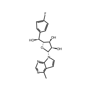 Cc1ncnc2c1ccn2[C@@H]1O[C@H]([C@@H](O)c2ccc(F)cc2)[C@@H](O)[C@H]1O